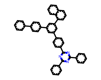 c1ccc(-c2ccc(-c3cc(-c4ccc(-c5nc(-c6ccccc6)nc(-c6ccccc6)n5)cc4)cc(-c4cccc5ccccc45)c3)cc2)cc1